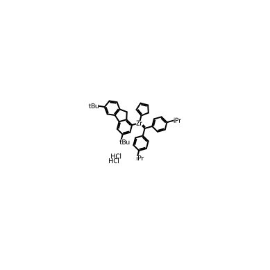 CC(C)c1ccc([C](c2ccc(C(C)C)cc2)=[Zr]([C]2=CC=CC2)[c]2cc(C(C)(C)C)cc3c2Cc2ccc(C(C)(C)C)cc2-3)cc1.Cl.Cl